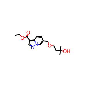 CCOC(=O)c1cnn2cc(COCCC(C)(C)O)ccc12